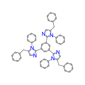 c1ccc(Cc2cnc(-c3cc(-c4ncc(Cc5ccccc5)n4-c4ccccc4)cc(-c4ncc(Cc5ccccc5)n4-c4ccccc4)c3)n2-c2ccccc2)cc1